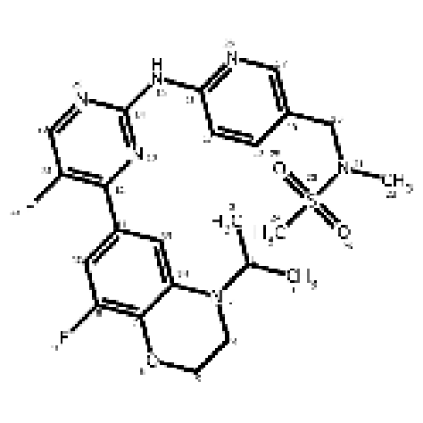 CC(C)N1CCOc2c(F)cc(-c3nc(Nc4ccc(CN(C)S(C)(=O)=O)cn4)ncc3F)cc21